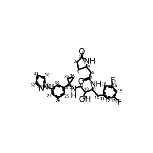 O=C1CCC(CC(=O)NC(Cc2cc(F)cc(F)c2)C(O)CNC2(c3cccc(-n4cccn4)c3)CC2)N1